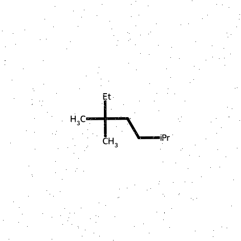 CCC(C)(C)[CH]CC(C)C